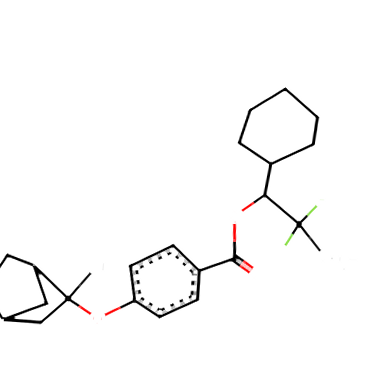 CCC1(Oc2ccc(C(=O)OC(C3CCCCC3)C(F)(F)C(=O)O)cc2)CC2CCC1C2